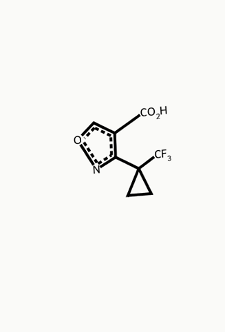 O=C(O)c1conc1C1(C(F)(F)F)CC1